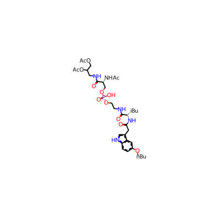 CCCCOc1ccc2[nH]cc(CC(=O)N[C@H](C(=O)NCCOP(=O)(O)OC[C@@H](NC(C)=O)C(=O)NCC(COC(C)=O)OC(C)=O)[C@@H](C)CC)c2c1